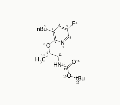 CCCCc1cc(F)cnc1O[C@@H](C)CNC(=O)OC(C)(C)C